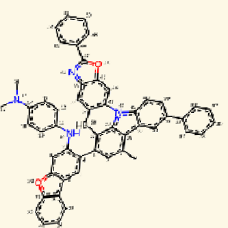 Cc1cc(-c2cc3c(cc2Nc2ccc(N(C)C)cc2)oc2ccccc23)c2c3c1c1cc(-c4ccccc4)ccc1n3-c1cc3oc(-c4ccccc4)nc3cc1B2